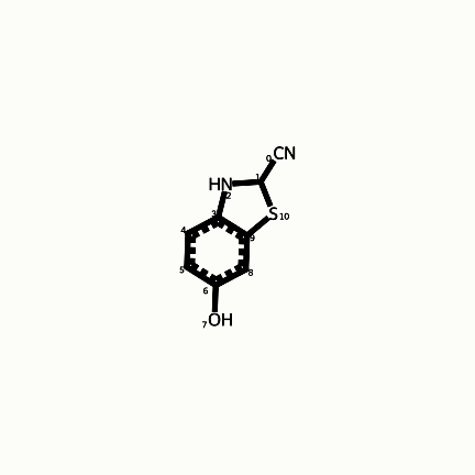 N#CC1Nc2ccc(O)cc2S1